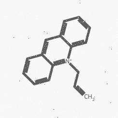 C=CC[n+]1c2ccccc2cc2ccccc21